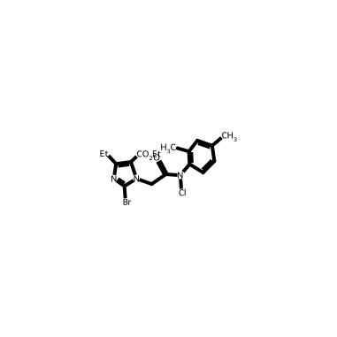 CCOC(=O)c1c(CC)nc(Br)n1CC(=O)N(Cl)c1ccc(C)cc1C